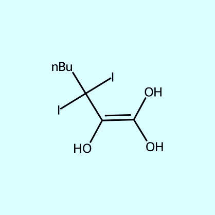 CCCCC(I)(I)C(O)=C(O)O